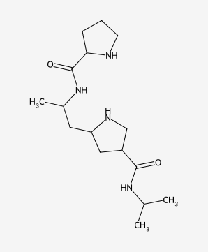 CC(C)NC(=O)C1CNC(CC(C)NC(=O)C2CCCN2)C1